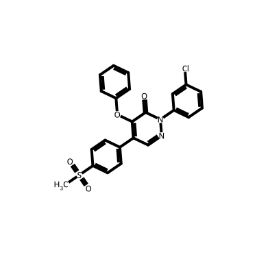 CS(=O)(=O)c1ccc(-c2cnn(-c3cccc(Cl)c3)c(=O)c2Oc2ccccc2)cc1